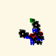 CCC(NC(=O)[C@H](CC(C)C)NC(=O)NCc1ccccc1)C(=O)C(=O)NCc1ccc(Br)cc1